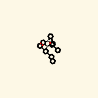 c1ccc(-c2cccc(N(c3cc(-c4ccc5ccccc5c4)ccc3-c3ccccc3)c3ccccc3-n3c4ccccc4c4ccccc43)c2)cc1